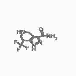 NC(=O)c1n[nH]c2c1CNCC2C(F)(F)F